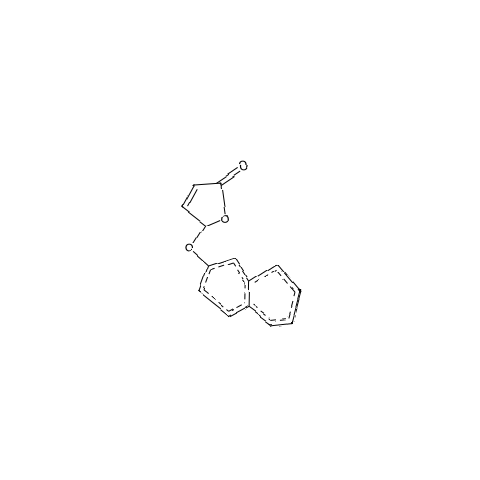 O=C1C=CC(Oc2ccc3ccccc3c2)O1